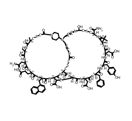 C[C@H]1CSCC(=O)N2CCC(CC2)N2C3CCN(CC3)C(=O)CSC[C@@H]3NC(=O)[C@H](NC(=O)[C@H](Cc4cccc5ccccc45)NC(=O)[C@H](CCC(=O)O)NC(=O)[C@H](CC(N)=O)NC(=O)[C@@H](C)NC1=O)C(C(=O)O)C[C@H](NC3=O)C(=O)N[C@@H](CC(=O)O)C(=O)N[C@@H](Cc1ccccc1)C(=O)N[C@@H](Cc1ccc(O)cc1)C(=O)N[C@@H](CC(=O)O)C(=O)N[C@@H](C(C)(C)C)C(=O)N[C@H](C(N)=O)CSCC(O)N1CCC2CC1